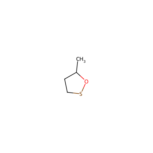 CC1CCSO1